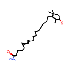 CC1=C(CCCCCCCCCCCCCCC(N)=O)C(C)(C)CCC1=O